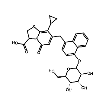 O=C(O)C1CSc2c(C3CC3)c(Cc3ccc(OC4O[C@H](CO)[C@@H](O)[C@@H](O)[C@@H]4O)c4ccccc34)cc(=O)n21